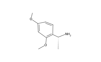 COc1ccc([C@@H](C)N)c(OC)c1